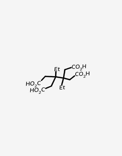 CCC(CC(=O)O)(CC(=O)O)C(CC)(CC(=O)O)CC(=O)O